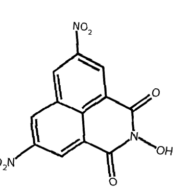 O=C1c2cc([N+](=O)[O-])cc3cc([N+](=O)[O-])cc(c23)C(=O)N1O